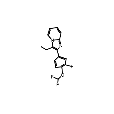 CCc1c(-c2ccc(OC(F)F)c(F)c2)nc2ccccn12